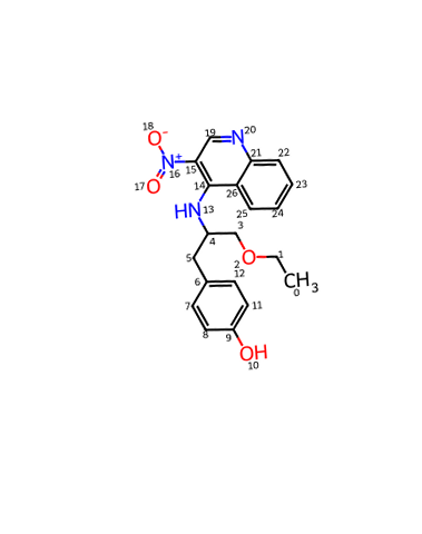 CCOCC(Cc1ccc(O)cc1)Nc1c([N+](=O)[O-])cnc2ccccc12